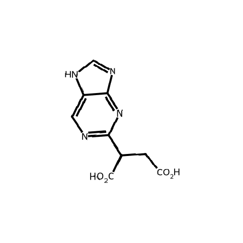 O=C(O)CC(C(=O)O)c1ncc2[nH]cnc2n1